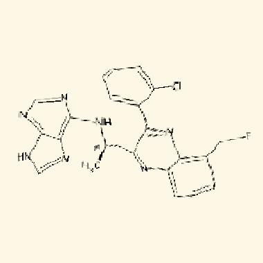 C[C@@H](Nc1ncnc2[nH]cnc12)c1nc2cccc(CF)c2nc1-c1ccccc1Cl